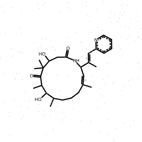 C/C1=C/C(/C(C)=C/c2ccccn2)NC(=O)CC(O)C(C)(C)C(=O)C(C)C(O)C(C)CCC1